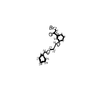 O=C(CBr)c1cccc(OCCCOCc2ccccc2)c1